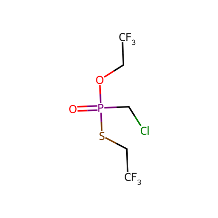 O=P(CCl)(OCC(F)(F)F)SCC(F)(F)F